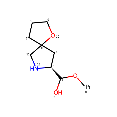 CC(C)OC(O)[C@@H]1CC2(CCCO2)CN1